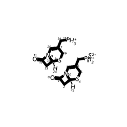 O=C1C[C@@H]2SCC(C[PH3+])=CN12.O=C1C[C@@H]2SCC(C[PH3+])=CN12.[S-2]